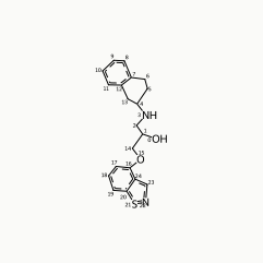 OC(CNC1CCc2ccccc2C1)COc1cccc2sncc12